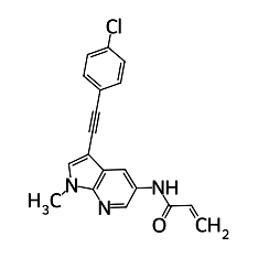 C=CC(=O)Nc1cnc2c(c1)c(C#Cc1ccc(Cl)cc1)cn2C